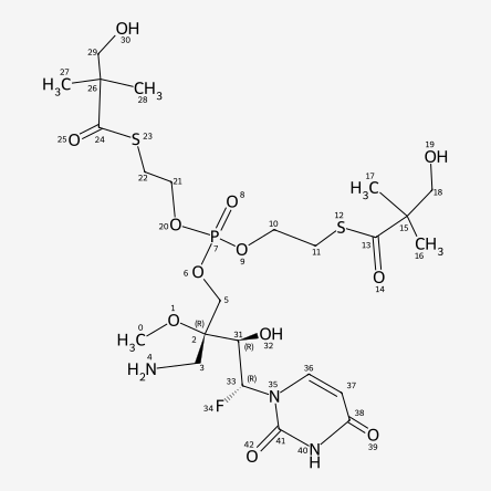 CO[C@](CN)(COP(=O)(OCCSC(=O)C(C)(C)CO)OCCSC(=O)C(C)(C)CO)[C@@H](O)[C@@H](F)n1ccc(=O)[nH]c1=O